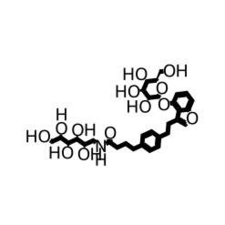 O=C(CCCc1ccc(CCc2coc3cccc(O[C@@H]4O[C@H](CO)[C@@H](O)[C@H](O)[C@H]4O)c23)cc1)NC[C@H](O)[C@@H](O)[C@H](O)[C@H](O)CO